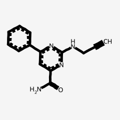 C#CCNc1nc(C(N)=O)cc(-c2ccccc2)n1